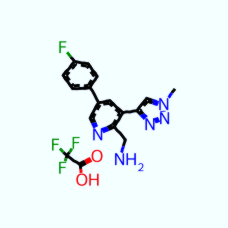 Cn1cc(-c2cc(-c3ccc(F)cc3)cnc2CN)nn1.O=C(O)C(F)(F)F